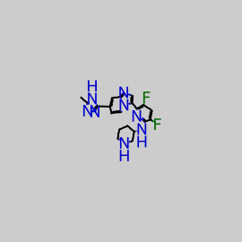 Cc1nnc(-c2ccn3c(-c4nc(N[C@H]5CCCNC5)c(F)cc4F)cnc3c2)[nH]1